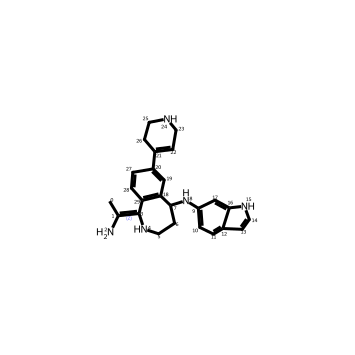 C/C(N)=C1/NCCC(Nc2ccc3cc[nH]c3c2)c2cc(C3=CCNCC3)ccc21